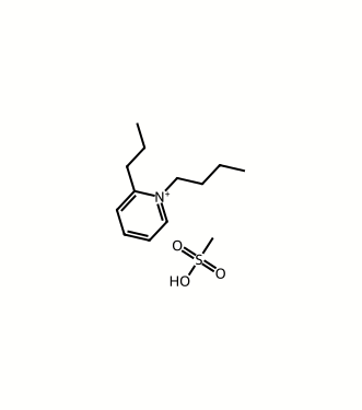 CCCC[n+]1ccccc1CCC.CS(=O)(=O)O